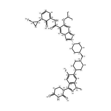 CC(C)Oc1nc2nc([C@H]3CC[C@H](CN4CCC(c5cc6c(cc5F)c(N5CCC(=O)NC5=O)nn6C)CC4)CC3)cn2cc1C(=O)Nc1cccn([C@H]2C[C@H]2F)c1=O